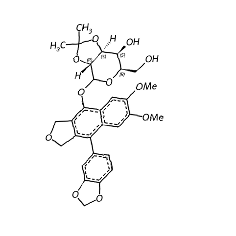 COc1cc2c(OC3O[C@H](CO)[C@H](O)[C@@H]4OC(C)(C)O[C@@H]34)c3c(c(-c4ccc5c(c4)OCO5)c2cc1OC)COC3